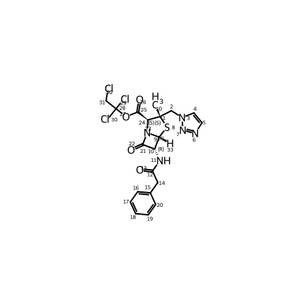 C[C@@]1(Cn2ccnn2)S[C@@H]2[C@H](NC(=O)Cc3ccccc3)C(=O)N2[C@H]1C(=O)OC(Cl)(Cl)CCl